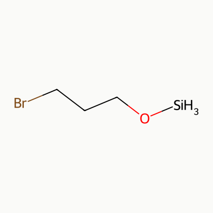 [SiH3]OCCCBr